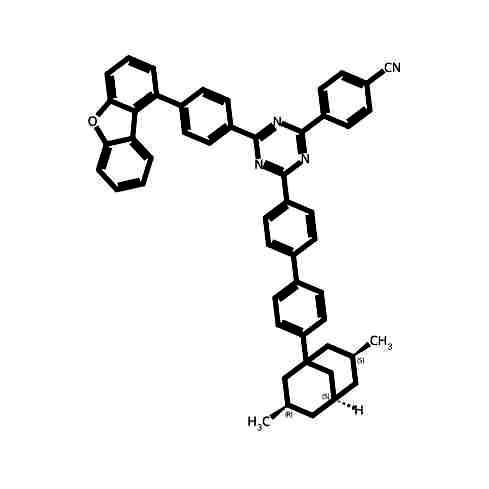 C[C@@H]1C[C@@H]2C[C@H](C)CC(c3ccc(-c4ccc(-c5nc(-c6ccc(C#N)cc6)nc(-c6ccc(-c7cccc8oc9ccccc9c78)cc6)n5)cc4)cc3)(C1)C2